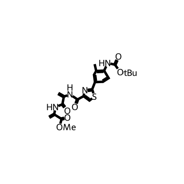 C=C(NC(=O)c1csc(-c2ccc(NC(=O)OC(C)(C)C)c(C)c2)n1)C(=O)NC(=C)C(=O)OC